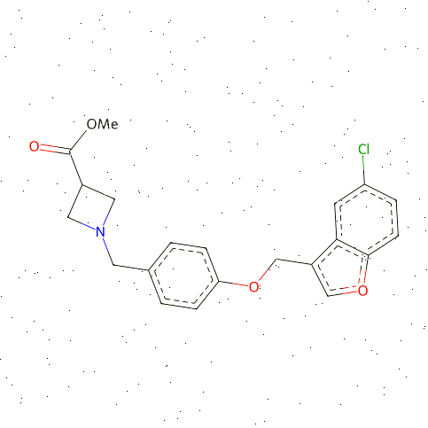 COC(=O)C1CN(Cc2ccc(OCc3coc4ccc(Cl)cc34)cc2)C1